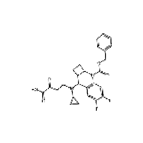 O=C(O)C(=O)CCN(C1CC1)C1c2cc(F)c(F)cc2N(C(=O)OCc2ccccc2)C2CCC21